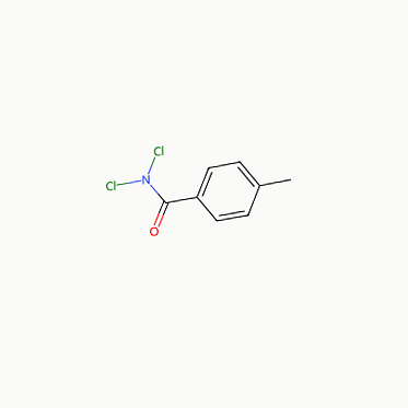 Cc1ccc(C(=O)N(Cl)Cl)cc1